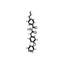 CCCc1ccc(C(=O)NC(=O)Cc2ccc(Oc3ccncc3)cc2)cc1